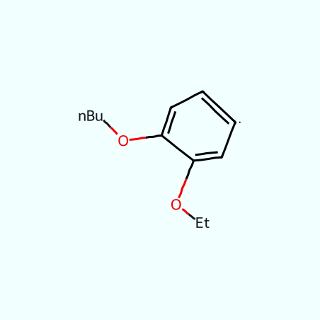 CCCCOc1cc[c]cc1OCC